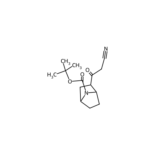 CC(C)(C)OC(=O)N1C2CCC1C(C(=O)CC#N)C2